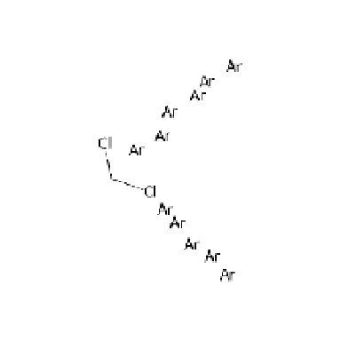 ClCCl.[Ar].[Ar].[Ar].[Ar].[Ar].[Ar].[Ar].[Ar].[Ar].[Ar].[Ar]